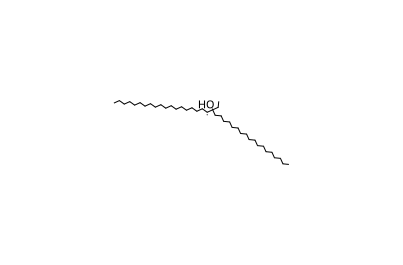 CCCCCCCCCCCCCCCCCC[CH]C(O)(CC)CCCCCCCCCCCCCCCCCC